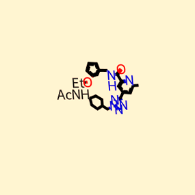 CCOc1cccc(CNC(=O)c2cc(-c3nnn(CC4CCC(NC(C)=O)CC4)n3)cc(C)n2)c1